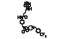 CC(C)(C)OC(=O)NCCCC(=O)Nc1ccc(CN2CC3(CCN(Cc4ccc(C(F)(F)F)cc4)CC3)OC2=O)cc1